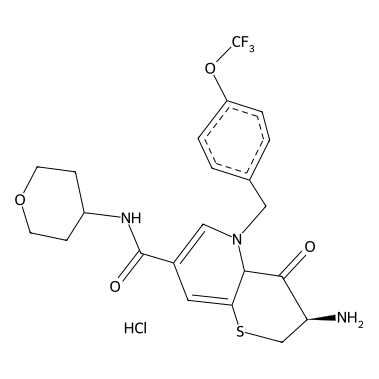 Cl.N[C@H]1CSC2=CC(C(=O)NC3CCOCC3)=CN(Cc3ccc(OC(F)(F)F)cc3)C2C1=O